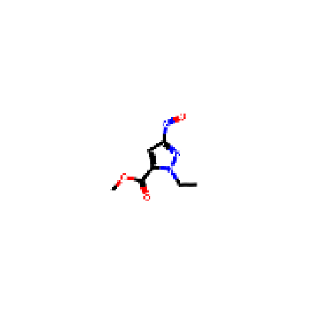 CCn1nc(N=O)cc1C(=O)OC